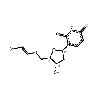 O=c1ccn([C@H]2C[C@H](O)[C@@H](COC=CBr)O2)c(=O)[nH]1